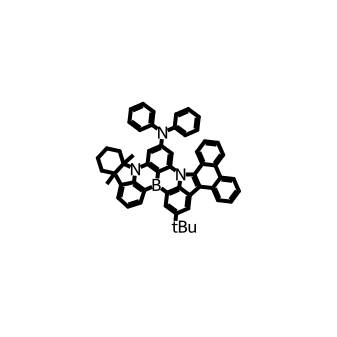 CC(C)(C)c1cc2c3c(c1)c1c4ccccc4c4ccccc4c1n3-c1cc(N(c3ccccc3)c3ccccc3)cc3c1B2c1cccc2c1N3C1(C)CCCCC21C